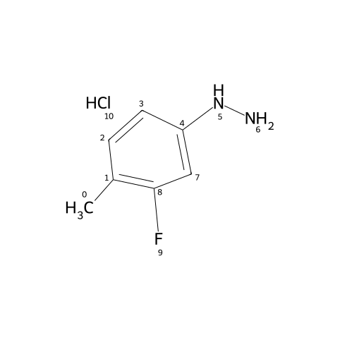 Cc1ccc(NN)cc1F.Cl